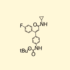 CC(C)(C)OC(=O)Nc1ccc(C(=CC(=O)NC2CC2)c2ccc(F)cc2)cc1